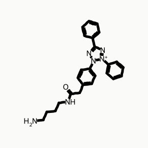 NCCCCNC(=O)Cc1ccc(-n2nc(-c3ccccc3)n[n+]2-c2ccccc2)cc1